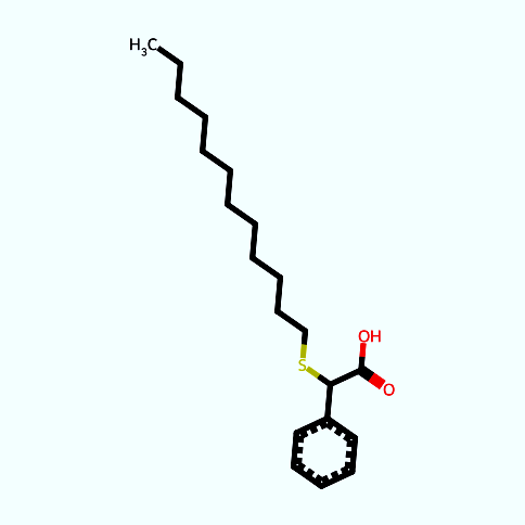 CCCCCCCCCCCCSC(C(=O)O)c1ccccc1